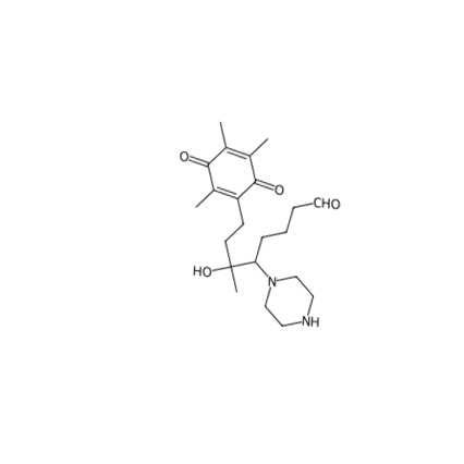 CC1=C(C)C(=O)C(CCC(C)(O)C(CCCC=O)N2CCNCC2)=C(C)C1=O